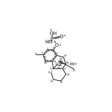 Cc1cc(OP(=O)(O)O)c2c(c1)[C@]13CCCC[C@@H]1[C@H](C2)N(C)CC3